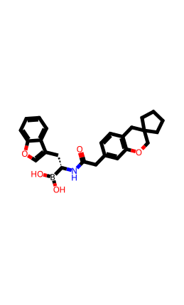 O=C(Cc1ccc2c(c1)OCC1(CCCC1)C2)N[C@@H](Cc1coc2ccccc12)B(O)O